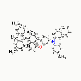 Cc1ccc(N(c2ccc3c(c2)Oc2cccc4c(B(c5c(C)cc(C)cc5C)c5c(C)cc(C)cc5C)ccc-3c24)c2ccc3ccccc3c2)cc1